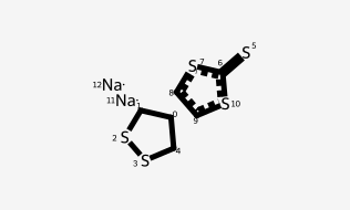 C1CSSC1.S=c1sccs1.[Na].[Na]